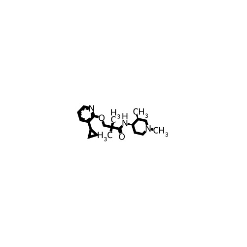 C[C@H]1CN(C)CC[C@H]1NC(=O)C(C)(C)COc1ncccc1C1CC1